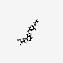 Cc1cc(Cn2cc3c(NC(=O)[C@@H](C)O)nccc3n2)cnc1OCC(F)F